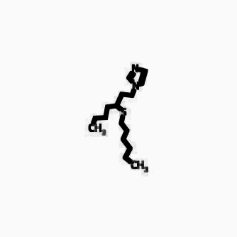 CCCCCCSC(CCCC)CCn1ccnc1